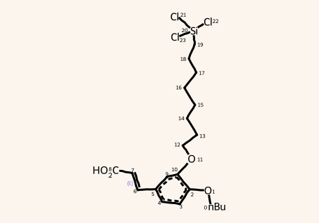 CCCCOc1ccc(/C=C/C(=O)O)cc1OCCCCCCCC[Si](Cl)(Cl)Cl